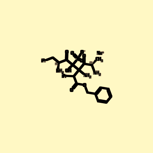 CC(C)C[C@H](N)C(=O)C(O)(C(N)(C(=O)[C@H](C)N)C(C(=O)OCc1ccccc1)C(C)C)S(=O)(=O)[O-].[Na+]